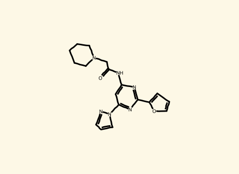 O=C(CN1CCCCC1)Nc1cc(-n2cccn2)nc(-c2ccco2)n1